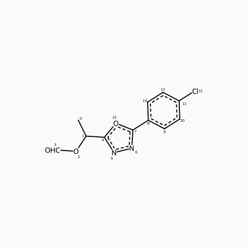 CC(OC=O)c1nnc(-c2ccc(Cl)cc2)o1